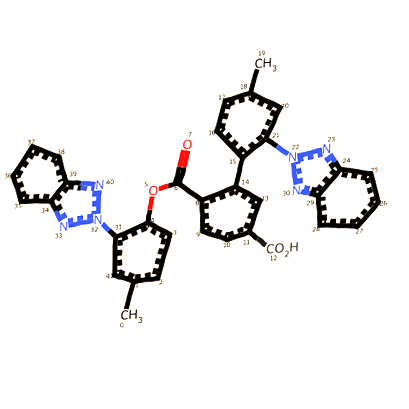 Cc1ccc(OC(=O)c2ccc(C(=O)O)cc2-c2ccc(C)cc2-n2nc3ccccc3n2)c(-n2nc3ccccc3n2)c1